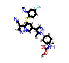 C=Nc1cc(F)ccc1Sc1cc(-c2cnn([C@H]3CC[C@@](C)(NC(=O)OC)CC3)c2C)cn2ncc(C#N)c12